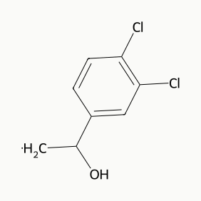 [CH2]C(O)c1ccc(Cl)c(Cl)c1